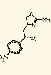 CC[C@@H](C[C@H]1COC(N)=N1)c1ccc([N+](=O)[O-])cc1